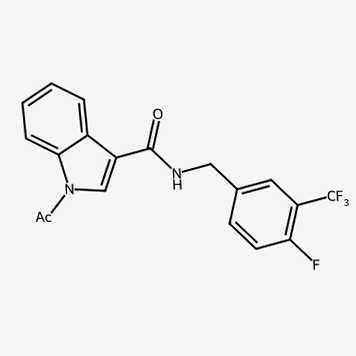 CC(=O)n1cc(C(=O)NCc2ccc(F)c(C(F)(F)F)c2)c2ccccc21